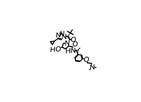 C[C@H](NC(=O)C1CC(O)CN1C(=O)[C@@H](n1cc(C2CC2)nn1)C(C)(C)C)c1cccc(OCCN(C)C)c1